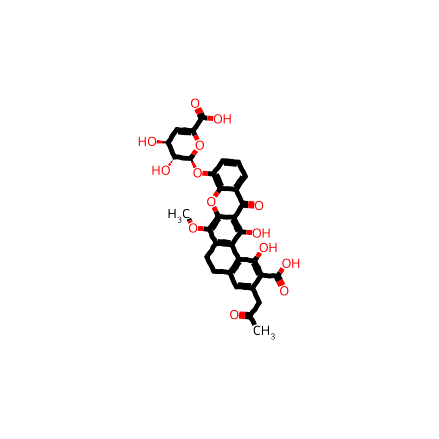 COc1c2c(c(O)c3c(=O)c4cccc(O[C@@H]5OC(C(=O)O)=C[C@H](O)[C@H]5O)c4oc13)-c1c(cc(CC(C)=O)c(C(=O)O)c1O)CC2